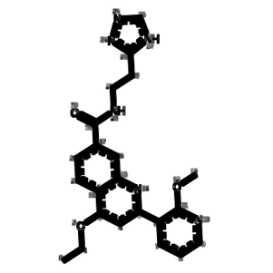 CCOc1cc(-c2cccnc2OC)nc2cc(C(=O)NCCc3nnc[nH]3)ccc12